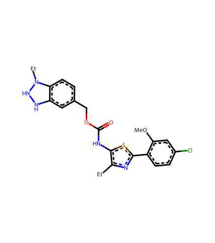 CCc1nc(-c2ccc(Cl)cc2OC)sc1NC(=O)OCc1ccc2c(c1)NNN2CC